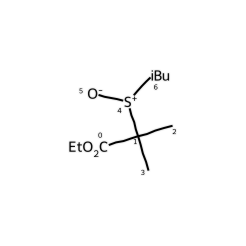 CCOC(=O)C(C)(C)[S+]([O-])C(C)CC